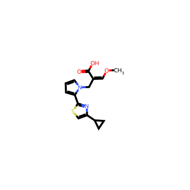 CO/C=C(/Cn1cccc1-c1nc(C2CC2)cs1)C(=O)O